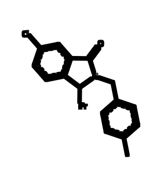 Cc1ccc(CN2C(=O)c3cc(Cl)ccc3C2C(C)C)cc1